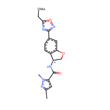 COCc1nc(-c2ccc3c(c2)OC[C@H]3NC(=O)c2cc(C)nn2C)no1